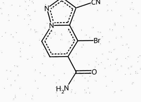 N#Cc1cnn2ccc(C(N)=O)c(Br)c12